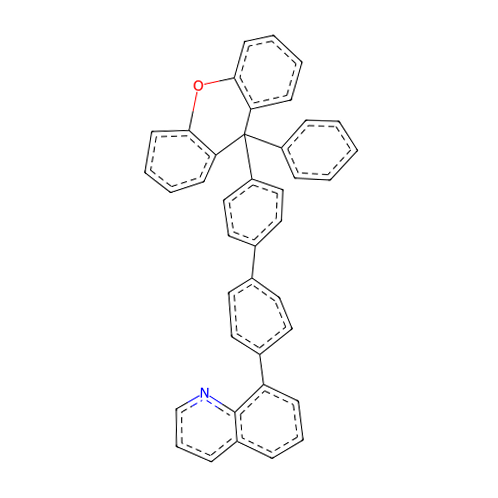 c1ccc(C2(c3ccc(-c4ccc(-c5cccc6cccnc56)cc4)cc3)c3ccccc3Oc3ccccc32)cc1